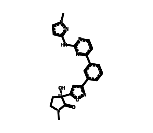 CN1CC[C@@](O)(c2cc(-c3cccc(-c4ccnc(Nc5ccn(C)n5)n4)c3)no2)C1=O